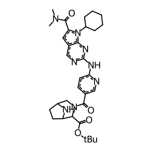 CN(C)C(=O)c1cc2cnc(Nc3ccc(C(=O)N4CC5CCC(N5)C4C(=O)OC(C)(C)C)cn3)nc2n1C1CCCCC1